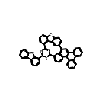 c1ccc(C2N=C(c3cccc4oc5ccc(-c6ccc7c8ccccc8c8ccccc8c7c6)cc5c34)N=C(c3cccc4c3oc3ccccc34)N2)cc1